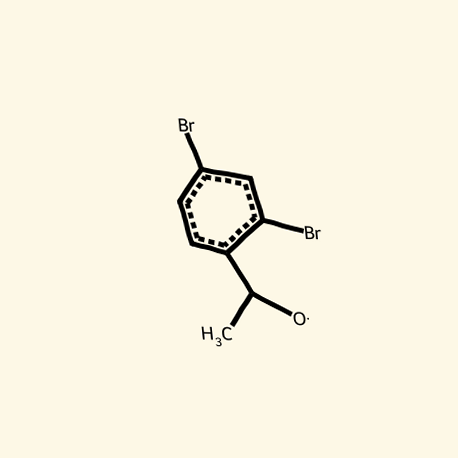 CC([O])c1ccc(Br)cc1Br